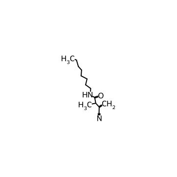 C=C(C#N)C(C)C(=O)NCCCCCCCC